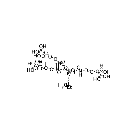 CCN(C)CCCCCC(=O)NC(COCCC(=O)NCCOCCOCCO[C@@H]1OC(CO)[C@@H](O)C(O)[C@H]1O)(COCCC(=O)NCCOCCOCCO[C@@H]1OC(CO)[C@@H](O)C(O)[C@H]1O)COCCC(=O)NCCOCCOCCO[C@@H]1OC(CO)[C@@H](O)C(O)[C@H]1O